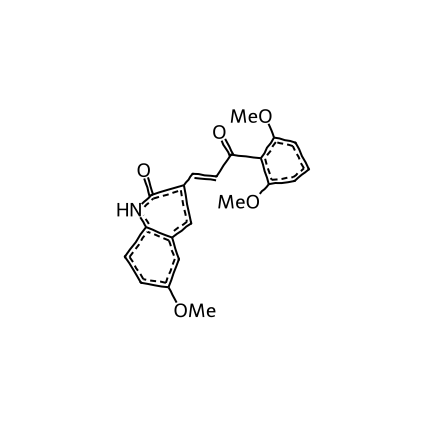 COc1ccc2[nH]c(=O)c(C=CC(=O)c3c(OC)cccc3OC)cc2c1